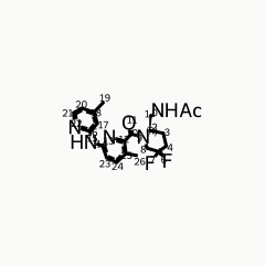 CC(=O)NC[C@H]1CCC(F)(F)CN1C(=O)c1nc(Nc2cc(C)ccn2)ccc1C